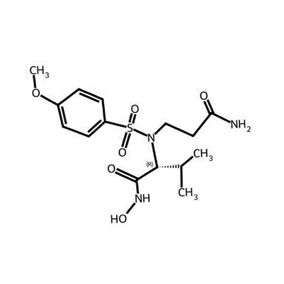 COc1ccc(S(=O)(=O)N(CCC(N)=O)[C@@H](C(=O)NO)C(C)C)cc1